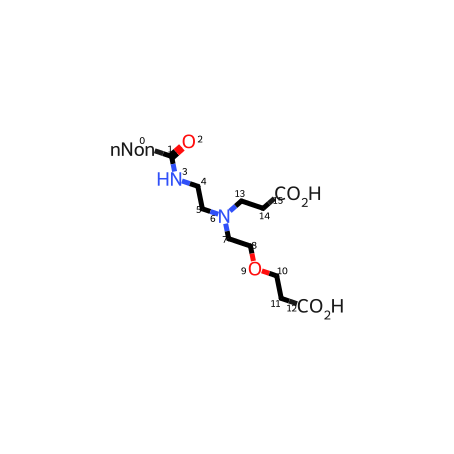 CCCCCCCCCC(=O)NCCN(CCOCCC(=O)O)CCC(=O)O